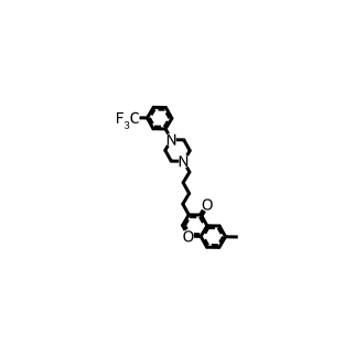 Cc1ccc2occ(CCCCN3CCN(c4cccc(C(F)(F)F)c4)CC3)c(=O)c2c1